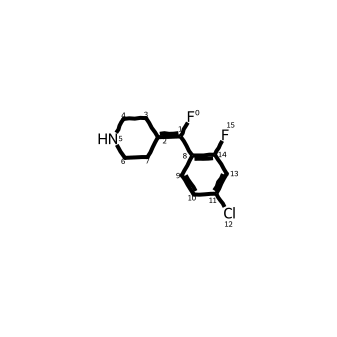 FC(=C1CCNCC1)c1ccc(Cl)cc1F